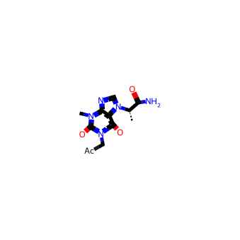 CC(=O)Cn1c(=O)c2c(ncn2[C@@H](C)C(N)=O)n(C)c1=O